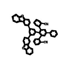 N#Cc1ccccc1-c1cc(-c2ccccc2)cc(-c2ccccc2C#N)c1-c1cc(-c2ccc3oc4ccccc4c3c2)cc(-c2ccc3oc4ccccc4c3c2)c1